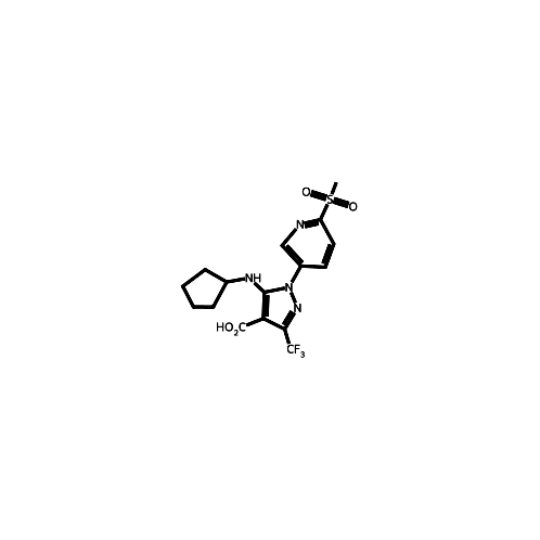 CS(=O)(=O)c1ccc(-n2nc(C(F)(F)F)c(C(=O)O)c2NC2CCCC2)cn1